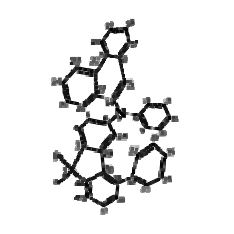 CC1(C)c2ccc(N(c3ccccc3)c3cc4ccccc4c4ccccc34)cc2-c2c(-c3ccccc3)cccc21